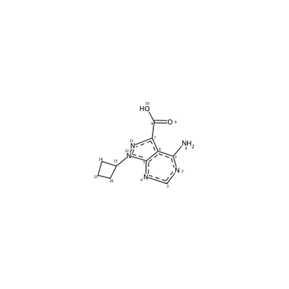 Nc1ncnc2c1c(C(=O)O)nn2C1CCC1